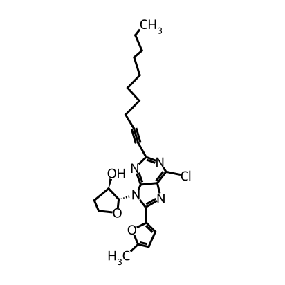 CCCCCCCCC#Cc1nc(Cl)c2nc(-c3ccc(C)o3)n([C@@H]3OCC[C@H]3O)c2n1